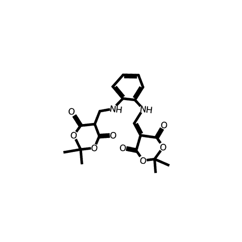 CC1(C)OC(=O)C(=CNc2ccccc2NCC2C(=O)OC(C)(C)OC2=O)C(=O)O1